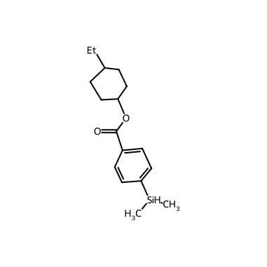 CCC1CCC(OC(=O)c2ccc([SiH](C)C)cc2)CC1